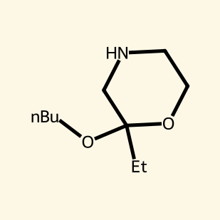 CCCCOC1(CC)CNCCO1